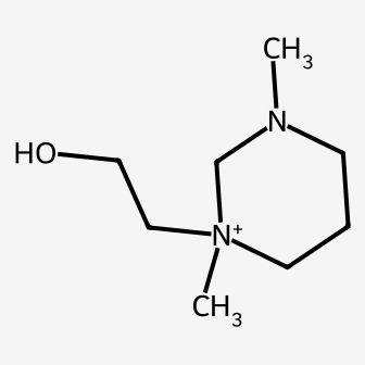 CN1CCC[N+](C)(CCO)C1